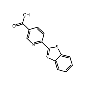 O=C(O)c1ccc(-c2nc3ccccc3s2)nc1